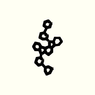 c1cncc(-c2cccc(-n3c4c(c5ccc6c(c7ccccc7n6-c6cccc(-c7cccnc7)n6)c53)CCCC4)n2)c1